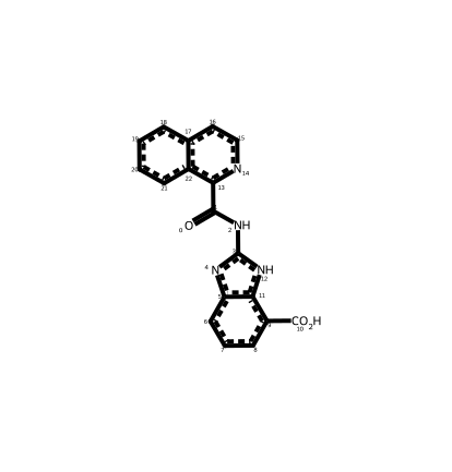 O=C(Nc1nc2cccc(C(=O)O)c2[nH]1)c1nccc2ccccc12